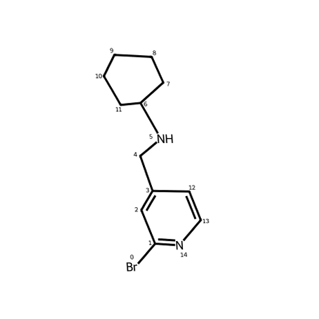 Brc1cc(CNC2CCCCC2)ccn1